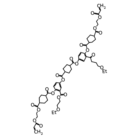 C=CC(=O)OCCOC(=O)C1CCC(C(=O)Oc2ccc(OC(=O)C3CCC(C(=O)Oc4ccc(OC(=O)C5CCC(C(=O)OCCOC(=O)C=C)CC5)c(C(=O)OCCOCC)c4)CC3)cc2C(=O)CCCOCC)CC1